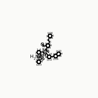 Nc1cccc(-c2nc(-c3cccc(-c4ccc5ccccc5c4)c3)nc(-c3ccc(/C=C/c4ccccc4)cc3C=O)n2)c1NS(=O)(=O)c1ccccc1